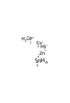 [Cu].[GeH3+].[SH-].[SnH4].[Zn]